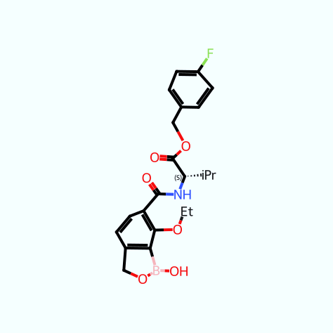 CCOc1c(C(=O)N[C@H](C(=O)OCc2ccc(F)cc2)C(C)C)ccc2c1B(O)OC2